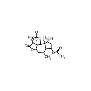 C=C1C(=O)OC2CC(C)C3C(OC(C)=O)CC(O)C3(C)C(OC(C)=O)C12